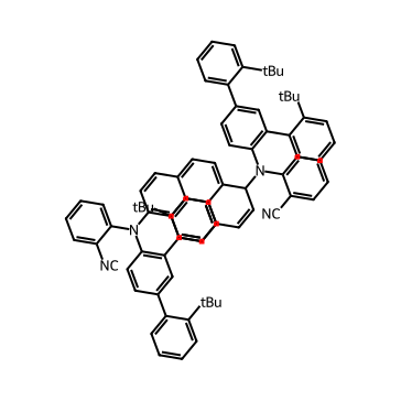 [C-]#[N+]c1ccccc1N(C1=C2C=CC3=C4C(=CC=C(C=C1)C24)C(N(c1ccccc1C#N)c1ccc(-c2ccccc2C(C)(C)C)cc1-c1ccccc1C(C)(C)C)C=C3)c1ccc(-c2ccccc2C(C)(C)C)cc1-c1ccccc1C(C)(C)C